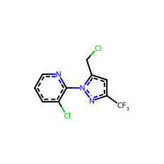 FC(F)(F)c1cc(CCl)n(-c2ncccc2Cl)n1